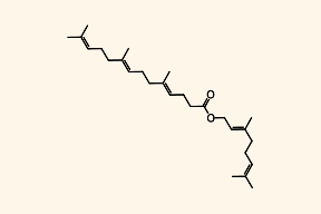 CC(C)=CCC/C(C)=C/CC/C(C)=C/CCC(=O)OC/C=C(\C)CCC=C(C)C